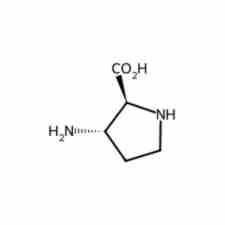 N[C@H]1CCN[C@@H]1C(=O)O